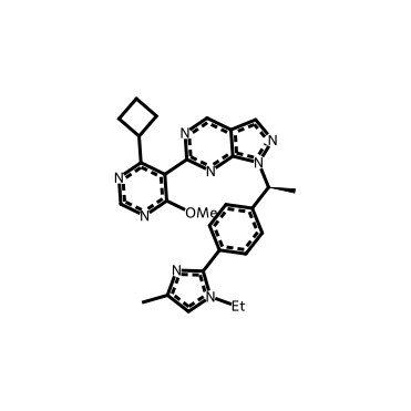 CCn1cc(C)nc1-c1ccc([C@H](C)n2ncc3cnc(-c4c(OC)ncnc4C4CCC4)nc32)cc1